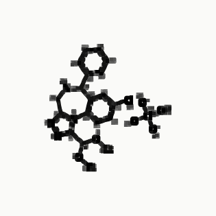 CCOC(OCC)c1nnc2n1-c1ccc(Cl)cc1C(c1ccccc1)=NC2.[O-][Cl+3]([O-])([O-])O